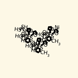 Cc1ccc(O[PH](O)(O)O)c(SCc2ccco2)c1SCc1ccco1.Cc1ccc(O[PH](O)(O)O)c(SCc2ccco2)c1SCc1ccco1.Cc1ccc(O[PH](O)(O)O)c(SCc2ccco2)c1SCc1ccco1.SP(S)S.[Ni]